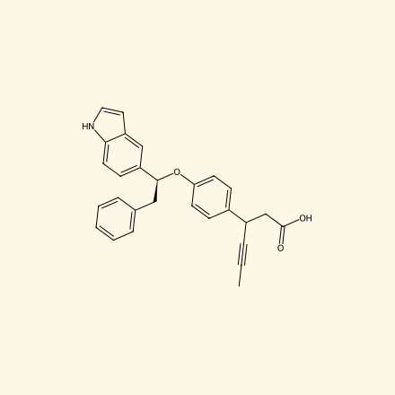 CC#CC(CC(=O)O)c1ccc(O[C@@H](Cc2ccccc2)c2ccc3[nH]ccc3c2)cc1